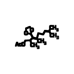 CC(=O)OCC(C)C(=C(C)CCC=C(C)C)C1OCCO1